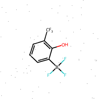 Oc1c([B-](F)(F)F)cccc1C(F)(F)F